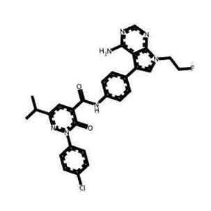 CC(C)c1cc(C(=O)Nc2ccc(-c3cn(CCF)c4ncnc(N)c34)cc2)c(=O)n(-c2ccc(Cl)cc2)n1